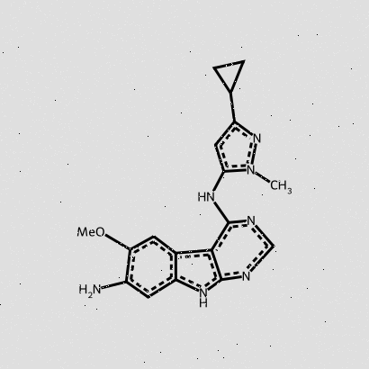 COc1cc2c(cc1N)[nH]c1ncnc(Nc3cc(C4CC4)nn3C)c12